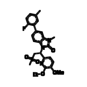 CCOc1nc(C(CS(C)(=O)=O)n2c(=O)n(C)c3cc(-c4cc(C)ccc4F)ccc32)ccc1OC